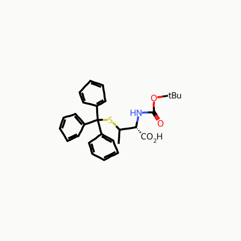 CC(SC(c1ccccc1)(c1ccccc1)c1ccccc1)[C@H](NC(=O)OC(C)(C)C)C(=O)O